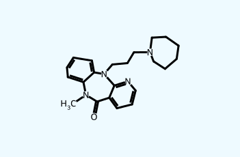 CN1C(=O)c2cccnc2N(CCCN2CCCCCC2)c2ccccc21